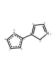 [C]1N=CC=C1c1cccs1